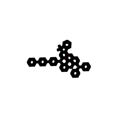 CC1(C)c2ccccc2-c2ccc(N(c3ccc(-c4ccc(-c5ccccc5)cc4)cc3)c3cccc4c3-c3cccc5ccc(N(c6ccccc6)c6ccccc6)c(c35)O4)cc21